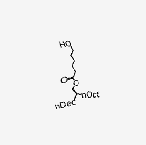 CCCCCCCCCCC(CCCCCCCC)COC(=O)CCCCCO